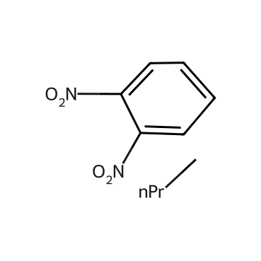 CCCC.O=[N+]([O-])c1ccccc1[N+](=O)[O-]